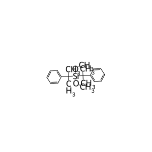 CO[Si](OC)(C(C)(C)c1ccccc1)C(C)(C)c1ccccc1